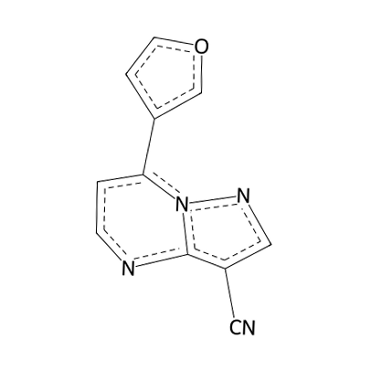 N#Cc1cnn2c(-c3ccoc3)ccnc12